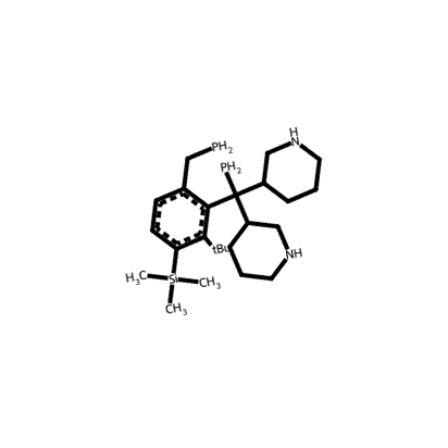 CC(C)(C)c1c([Si](C)(C)C)ccc(CP)c1C(P)(C1CCCNC1)C1CCCNC1